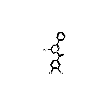 CC1CC(c2ccccc2)=NN(C(=S)c2ccc(Cl)c(Cl)c2)C1